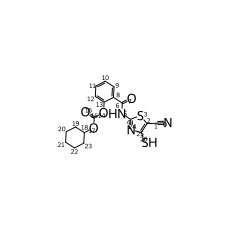 N#Cc1sc(NC(=O)c2ccccc2OC(=O)OC2CCCCC2)nc1S